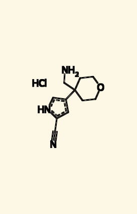 Cl.N#Cc1cc(C2(CN)CCOCC2)c[nH]1